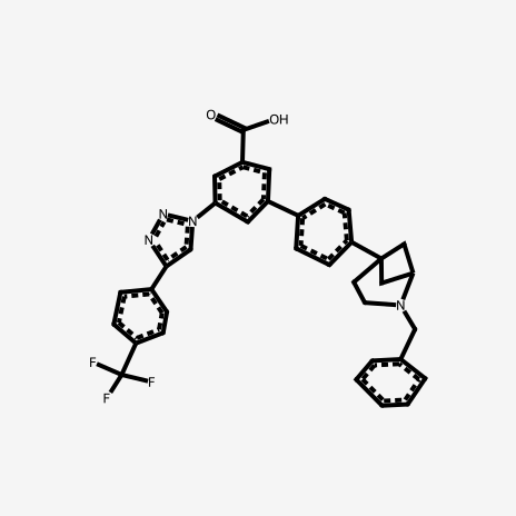 O=C(O)c1cc(-c2ccc(C34CCN(Cc5ccccc5)C(C3)C4)cc2)cc(-n2cc(-c3ccc(C(F)(F)F)cc3)nn2)c1